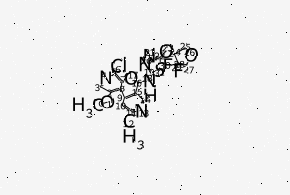 COc1cnc(Cl)cc1-c1cc(C)ncc1C(=O)Nc1nnc(OC2COCC2(F)F)s1